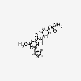 Cc1cc(C(=O)NC2CCC(OC(N)=O)CC2)nc(-n2ccnc2)n1